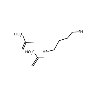 C=C(C)C(=O)O.C=C(C)C(=O)O.SCCCCS